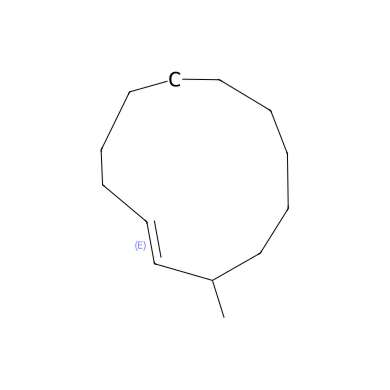 CC1/C=C/CCCCCCCCC1